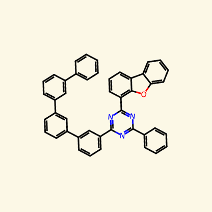 c1ccc(-c2cccc(-c3cccc(-c4cccc(-c5nc(-c6ccccc6)nc(-c6cccc7c6oc6ccccc67)n5)c4)c3)c2)cc1